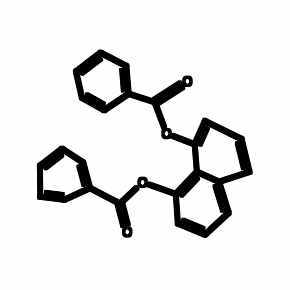 O=C(Oc1cccc2cccc(OC(=O)c3ccccc3)c12)c1ccccc1